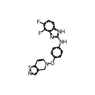 Fc1ccc2[nH]c(Nc3ccc(ON4C=Cc5sncc5C4)cc3)nc2c1F